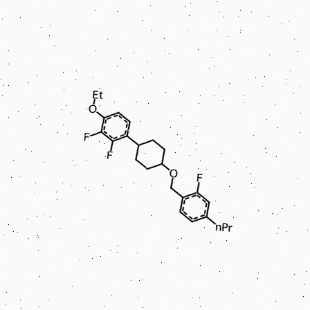 CCCc1ccc(COC2CCC(c3ccc(OCC)c(F)c3F)CC2)c(F)c1